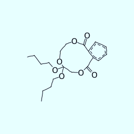 CCCCOC1(OCCCC)COC(=O)c2ccccc2C(=O)OCCO1